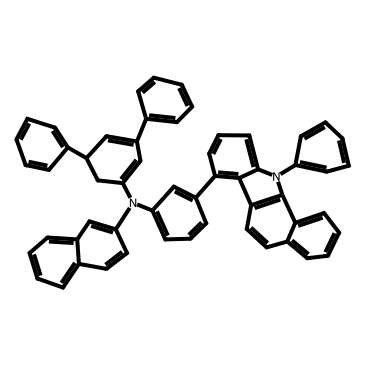 C1=C(c2ccccc2)C=C(N(c2cccc(-c3cccc4c3c3ccc5ccccc5c3n4-c3ccccc3)c2)c2ccc3ccccc3c2)CC1c1ccccc1